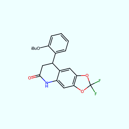 CC(C)COc1ccccc1C1CC(=O)Nc2cc3c(cc21)OC(F)(F)O3